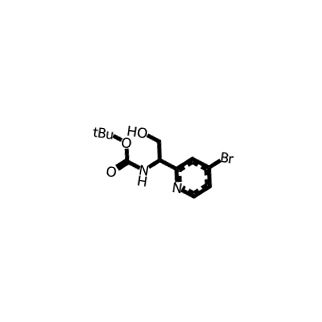 CC(C)(C)OC(=O)NC(CO)c1cc(Br)ccn1